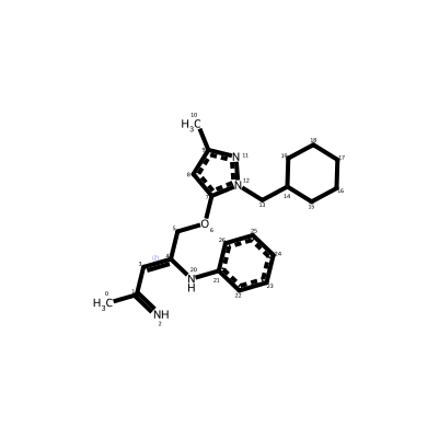 CC(=N)/C=C(/COc1cc(C)nn1CC1CCCCC1)Nc1ccccc1